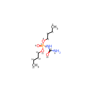 CCCCOP(=O)(NC(N)=O)OCCCC